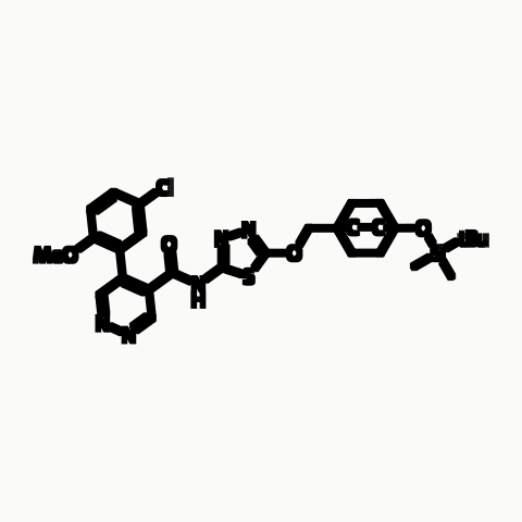 COc1ccc(Cl)cc1-c1cnncc1C(=O)Nc1nnc(OCC23CCC(O[Si](C)(C)C(C)(C)C)(CC2)CC3)s1